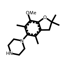 COc1c(C)c(N2CCNCC2)c(C)c2c1OC(C)(C)C2